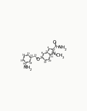 Cn1c(C(N)=O)cc2cc(OCc3cccc(N)c3)ccc21